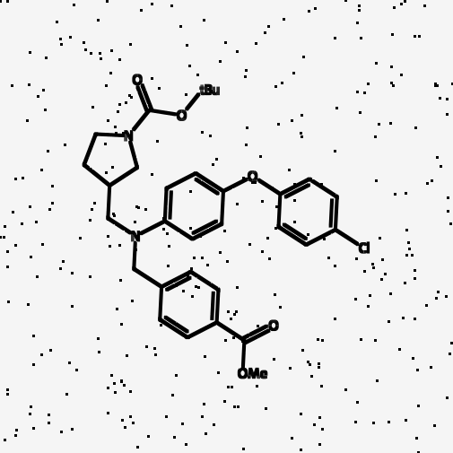 COC(=O)c1ccc(CN(CC2CCN(C(=O)OC(C)(C)C)C2)c2ccc(Oc3ccc(Cl)cc3)cc2)cc1